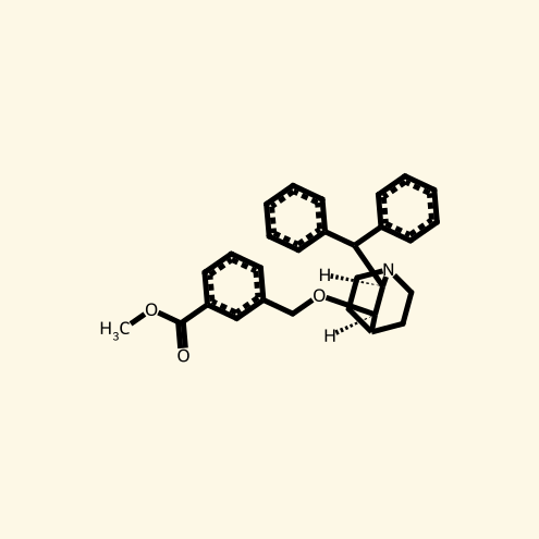 COC(=O)c1cccc(CO[C@@H]2C3CCN(CC3)[C@@H]2C(c2ccccc2)c2ccccc2)c1